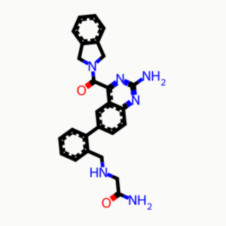 NC(=O)CNCc1ccccc1-c1ccc2nc(N)nc(C(=O)N3Cc4ccccc4C3)c2c1